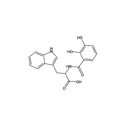 O=C(NC(Cc1c[nH]c2ccccc12)C(=O)O)c1cccc(O)c1O